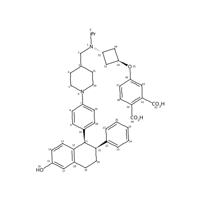 CC(C)N(CC1CCN(c2ccc([C@@H]3c4ccc(O)cc4CC[C@@H]3c3ccccc3)cc2)CC1)[C@H]1C[C@H](Oc2ccc(C(=O)O)c(C(=O)O)c2)C1